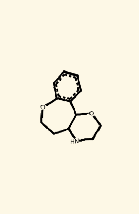 c1ccc2c(c1)OCCC1NCCOC21